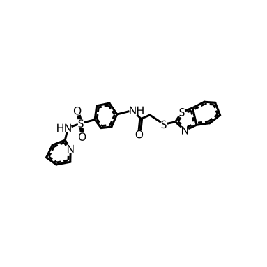 O=C(CSc1nc2ccccc2s1)Nc1ccc(S(=O)(=O)Nc2ccccn2)cc1